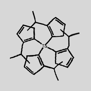 CC(C)C1=[C]([Ta]([C]2=C(C(C)C)C=CC2)([C]2=C(C(C)C)C=CC2)[C]2=C(C(C)C)C=CC2)CC=C1